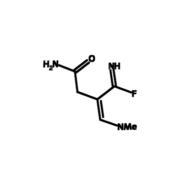 CN/C=C(/CC(N)=O)C(=N)F